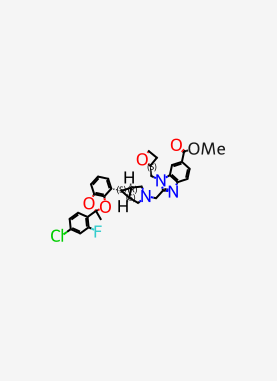 COC(=O)c1ccc2nc(CN3C[C@@H]4[C@H](C3)[C@H]4c3cccc4c3OC(C)(c3ccc(Cl)cc3F)O4)n(C[C@@H]3CCO3)c2c1